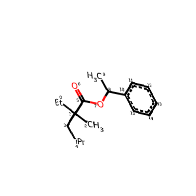 CCC(C)(CC(C)C)C(=O)OC(C)c1ccccc1